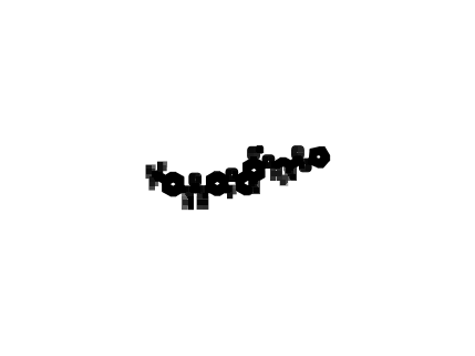 COc1cc2c(Oc3ccc(NC(=O)Nc4ccc(C(F)(F)F)cc4)cc3F)ccnc2cc1OCC[C@H](N)C(=O)OC1CCCC1